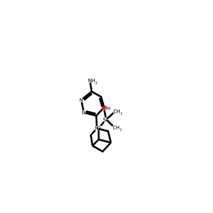 CC(C)(C)[Si](C)(C)OC1C2CC1CN(c1ccc(N)nn1)C2